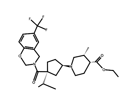 CCOC(=O)[C@@H]1CCN([C@@H]2CC[C@@](C(=O)N3COc4ccc(C(F)(F)F)cc4C3)(C(C)C)C2)C[C@@H]1C